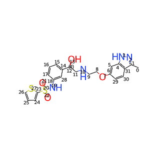 Cc1n[nH]c2cc(OCCNC[C@H](O)c3cccc(NS(=O)(=O)c4cccs4)c3)ccc12